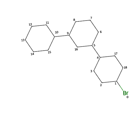 BrC1CCC(C2CCCC(C3CCCCC3)C2)CC1